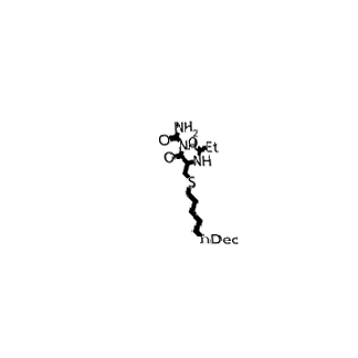 CCCCCCCCCCCCCCCSCC(NC(=O)CC)C(=O)NC(N)=O